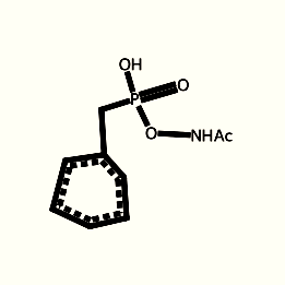 CC(=O)NOP(=O)(O)Cc1ccccc1